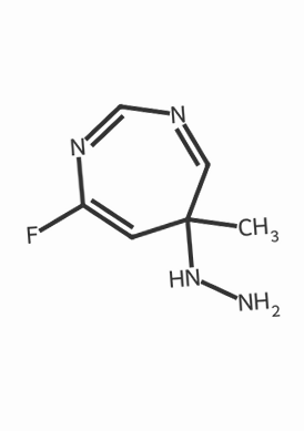 CC1(NN)C=NC=NC(F)=C1